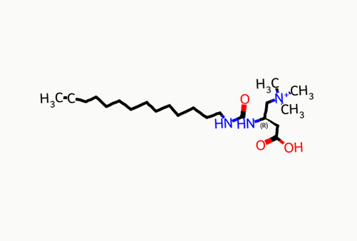 CCCCCCCCCCCCCCNC(=O)N[C@H](CC(=O)O)C[N+](C)(C)C